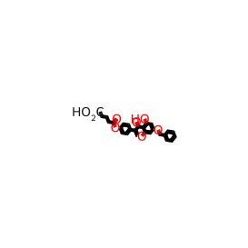 O=C(O)CCCC(=O)Oc1ccc(-c2coc3cc(OCc4ccccc4)cc(O)c3c2=O)cc1